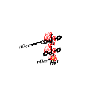 CCCCCCCCCCCCCCCCCC(=O)[O-].CCCCCCCCCCCCOS(=O)(=O)[O-].OC[C@@H](O)[C@H]1OC(c2ccccc2)O[C@H]2C(O)C(c3ccccc3)[C@]12O.OC[C@@H](O)[C@H]1OC(c2ccccc2)O[C@H]2C(O)C(c3ccccc3)[C@]12O.[Na+].[Na+]